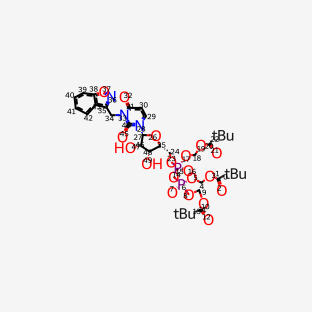 CC(C)(C)C(=O)OCOP(=O)(OCOC(=O)C(C)(C)C)OP(=O)(OCOC(=O)C(C)(C)C)OC[C@H]1O[C@@H](n2ccc(=O)n(Cc3noc4ccccc34)c2=O)[C@@H](O)[C@H]1O